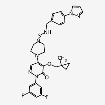 CC1(COc2c(N3CCN(SNCc4ccc(-n5cccn5)cc4)CC3)cnn(-c3cc(F)cc(F)c3)c2=O)CC1